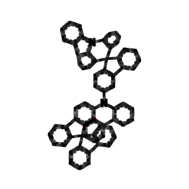 c1ccc(-c2ccccc2N(c2ccc3c(c2)-c2ccccc2C32c3ccccc3-n3c4ccccc4c4cccc2c43)c2ccc3c(c2)C2(c4ccccc4-c4ccccc42)c2ccccc2-3)cc1